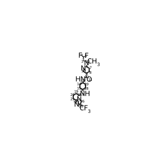 CN(CC(F)F)c1ccc(C(=O)Nc2ccc(Nc3cccc4nc(C(F)(F)F)cn34)cc2)cn1